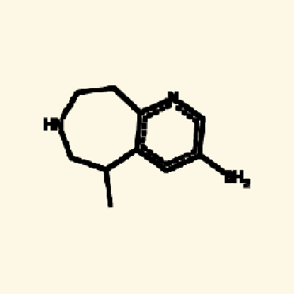 Bc1cnc2c(c1)C(C)CNCC2